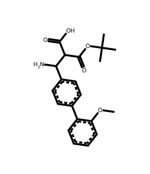 COc1ccccc1-c1ccc(C(N)C(C(=O)O)C(=O)OC(C)(C)C)cc1